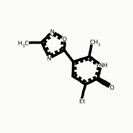 CCc1cc(-c2nc(C)no2)c(C)[nH]c1=O